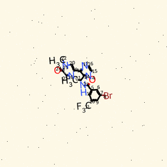 CC(NC(=O)c1cc(Br)cc(C(F)(F)F)c1)c1nccnc1-c1cn(C)c(=O)cn1